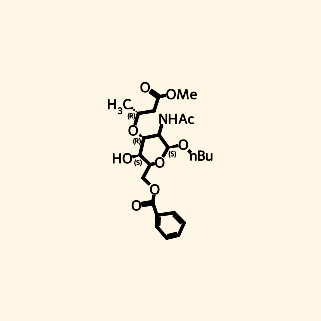 CCCCO[C@H]1OC(COC(=O)c2ccccc2)[C@@H](O)[C@H](O[C@H](C)CC(=O)OC)C1NC(C)=O